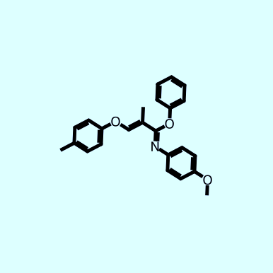 COc1ccc(N=C(Oc2ccccc2)C(C)=COc2ccc(C)cc2)cc1